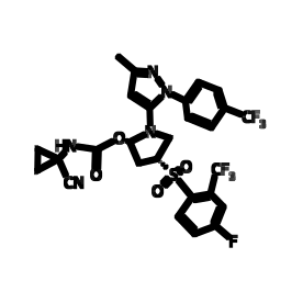 Cc1cc(N2C[C@H](S(=O)(=O)c3ccc(F)cc3C(F)(F)F)C[C@@H]2OC(=O)NC2(C#N)CC2)n(-c2ccc(C(F)(F)F)cc2)n1